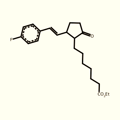 CCOC(=O)CCCCCCC1C(=O)CCC1C=Cc1ccc(F)cc1